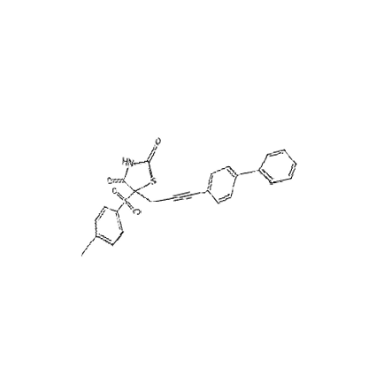 Cc1ccc(S(=O)(=O)C2(CC#Cc3ccc(-c4ccccc4)cc3)SC(=O)NC2=O)cc1